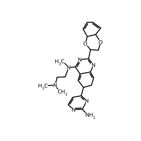 CN(C)CCN(C)c1nc(C2COC3C=CC=CC3O2)nc2c1=CC(c1ccnc(N)n1)CC=2